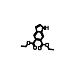 CCOC(=O)c1cc2cc[nH]c2cc1C(=O)OCC